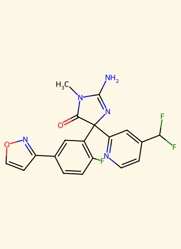 CN1C(=O)C(c2cc(C(F)F)ccn2)(c2cc(-c3ccon3)ccc2F)N=C1N